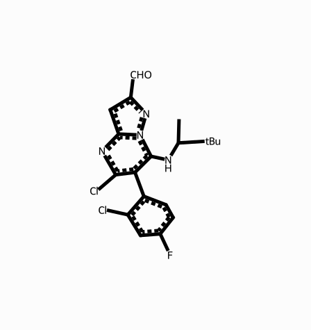 CC(Nc1c(-c2ccc(F)cc2Cl)c(Cl)nc2cc(C=O)nn12)C(C)(C)C